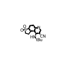 CC(C)(C)Nc1c(C#N)cnc2ccc3c(c12)CCS3(=O)=O